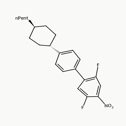 CCCCC[C@H]1CC[C@H](c2ccc(-c3cc(F)c([N+](=O)[O-])cc3F)cc2)CC1